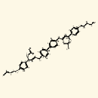 CCCCOc1ccc(C(C=CCc2ccc(-c3ccc(CC=CC(OC(C)C)c4ccc(OCCCC)cc4)cc3)cc2)OC(C)C)cc1